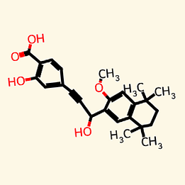 COc1cc2c(cc1C(O)C#Cc1ccc(C(=O)O)c(O)c1)C(C)(C)CCC2(C)C